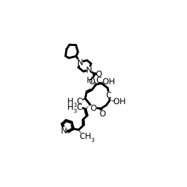 C/C(=C\C=C\[C@H](C)c1cccnc1)[C@H]1OC(=O)C[C@@H](O)CC[C@](C)(O)[C@@H](OC(=O)N2CCN(C3CCCCCC3)CC2)/C=C/[C@@H]1C